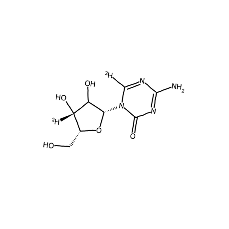 [2H]c1nc(N)nc(=O)n1[C@@H]1O[C@H](CO)[C@]([2H])(O)C1O